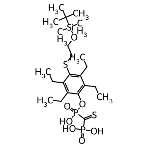 CCc1c(CC)c(SCCO[Si](C)(C)C(C)(C)C)c(CC)c(CC)c1OP(=O)(O)C(=S)P(=O)(O)O